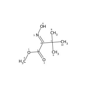 COC(=O)C(=NO)C(C)(C)C